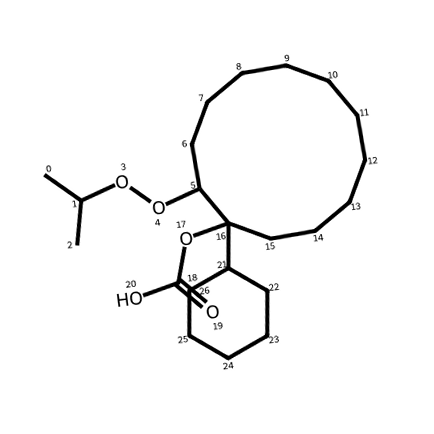 CC(C)OOC1CCCCCCCCCCC1(OC(=O)O)C1CCCCC1